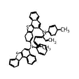 C=C/C(=C\C=C/C)N(C1=CCC(C)C=C1)c1cc2ccccc2c2sc3c(c12)C=C(N(c1ccccc1)c1cc2sc4ccccc4c2c2ccccc12)CC3